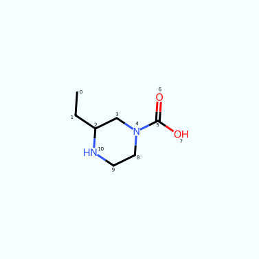 CCC1CN(C(=O)O)CCN1